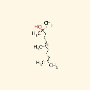 CC[C@@](C)(O)CC/C=C(\C)CCC=C(C)C